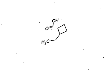 CCC1CCC1.O=CO